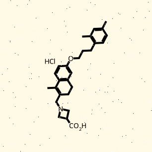 CC1=C(CN2CC(C(=O)O)C2)CCc2cc(OCCCc3ccc(C)cc3C)ccc21.Cl